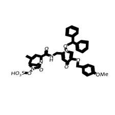 COc1ccc(COc2cn(OC(c3ccccc3)c3ccccc3)c(CNC(=O)C3C=C(C)C4CN3C(=O)N4OS(=O)(=O)O)cc2=O)cc1